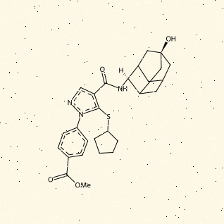 COC(=O)c1ccc(-n2ncc(C(=O)N[C@H]3C4CC5CC3C[C@@](O)(C5)C4)c2SC2CCCC2)cc1